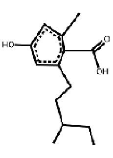 CCC(C)CCc1cc(O)cc(C)c1C(=O)O